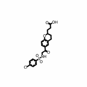 O=C(O)CCC1CCc2cc(C(=O)CNS(=O)(=O)c3ccc(Cl)cc3)ccc2O1